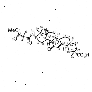 COC(=O)C(C)(C)C(=O)N[C@H]1CC[C@]2(C)[C@H]3C(=O)C=C4[C@@H]5C[C@@](C)(C(=O)O)CC[C@]5(C)CC[C@@]4(C)[C@]3(C)CC[C@H]2C1(C)C